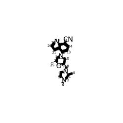 CC1CN(C)CCN1C[C@H]1CN(c2ccc(C#N)c3ncccc23)C[C@@H](C)O1